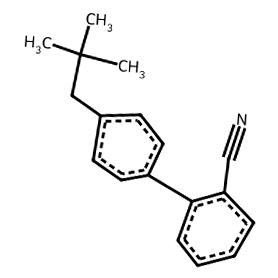 CC(C)(C)Cc1ccc(-c2ccccc2C#N)cc1